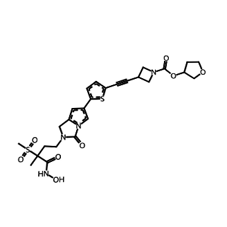 CC(CCN1Cc2cc(-c3ccc(C#CC4CN(C(=O)OC5CCOC5)C4)s3)cn2C1=O)(C(=O)NO)S(C)(=O)=O